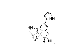 NC1=Nc2cc(-c3ccn[nH]3)ccc2C(N)(c2cc[nH]n2)N1